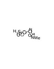 CNC(=O)C1(c2cncc(-c3ccc4c(c3)CCC(=O)N4C)c2)CC1